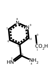 CC(=O)O.N=C(N)c1ccnnc1